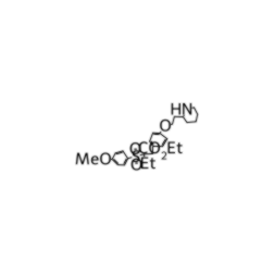 CCOC(=O)C(CC)(Cc1ccc(OCCC2CCCCN2)cc1)S(=O)(=O)c1ccc(OC)cc1